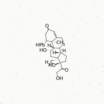 C[C@]12C[C@H](O)[C@H]3[C@@H](CCC4=CC(=O)C[CH]([PbH])[C@@]43C)[C@@H]1CC[C@]2(O)C(=O)CO